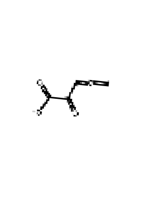 C=C=CC(=O)C(=O)O